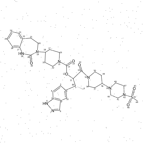 C[C@H](c1ccc2[nH]ncc2c1)C(OC(=O)N1CCC(N2CCc3ccccc3NC2=O)CC1)C(=O)N1CCC(N2CCN(S(C)(=O)=O)CC2)CC1